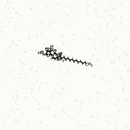 CCCCCCCCCCCCCC(=O)C1(N)C=CN([C@@H]2O[C@H](CO)[C@@H](O)[C@H]2O)C(=O)N1